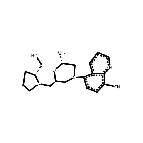 C[C@@H]1CN(c2ccc(C#N)c3ncccc23)C[C@@H](CN2CCC[C@@H]2CO)O1